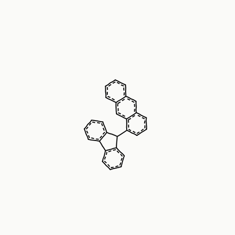 c1ccc2c(c1)-c1ccccc1C2c1cccc2cc3ccccc3cc12